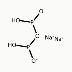 [Na+].[Na+].[O-]P(O)OP([O-])O